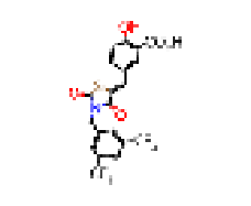 O=C(O)c1cc(/C=C2\SC(=O)N(Cc3cc(C(F)(F)F)cc(C(F)(F)F)c3)C2=O)ccc1O